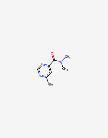 CN(C)C(=O)c1cc(C(C)(C)C)ncn1